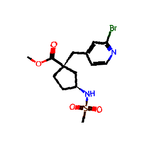 COC(=O)[C@@]1(Cc2ccnc(Br)c2)CC[C@H](NS(C)(=O)=O)C1